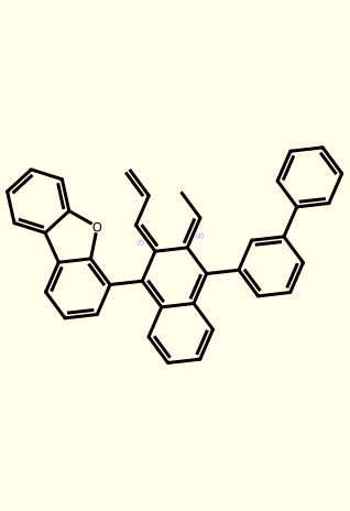 C=C/C=c1/c(-c2cccc3c2oc2ccccc23)c2ccccc2c(-c2cccc(-c3ccccc3)c2)/c1=C/C